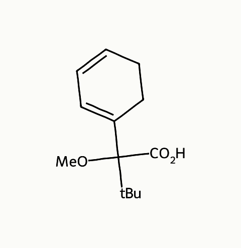 COC(C(=O)O)(C1=CC=CCC1)C(C)(C)C